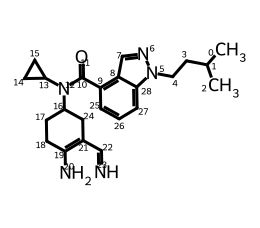 CC(C)CCn1ncc2c(C(=O)N(C3CC3)C3CCC(N)=C(C=N)C3)cccc21